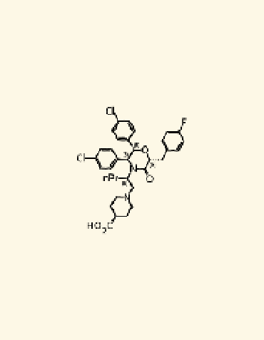 CCC[C@H](CN1CCC(C(=O)O)CC1)N1C(=O)[C@@H](Cc2ccc(F)cc2)O[C@H](c2ccc(Cl)cc2)[C@@H]1c1ccc(Cl)cc1